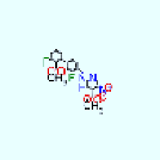 COC(=O)c1cc(NCc2ccc(-c3cccc(F)c3C(=O)OC)cc2F)ncc1[N+](=O)[O-]